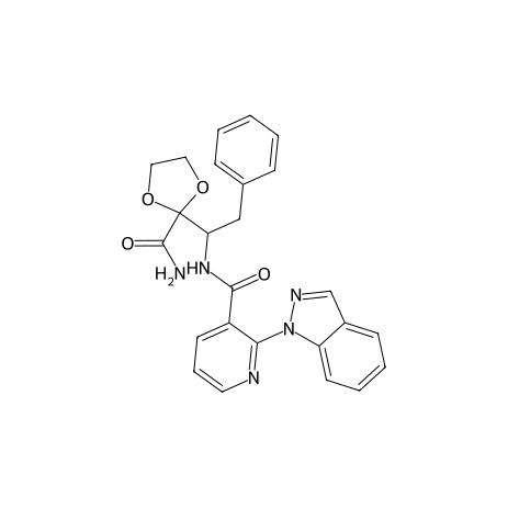 NC(=O)C1(C(Cc2ccccc2)NC(=O)c2cccnc2-n2ncc3ccccc32)OCCO1